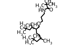 CC(CCC(COCCCNC(=O)C(C)(C)C)C(C)CC(C)(C)C)CC(C)(C)C